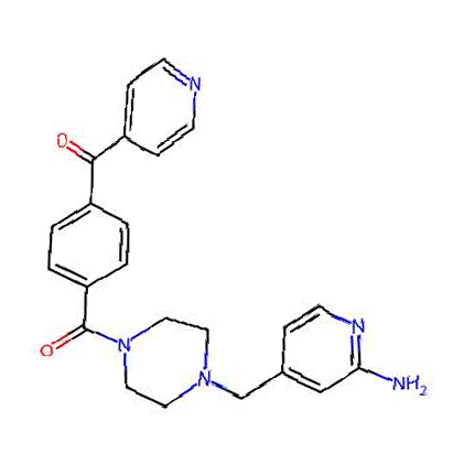 Nc1cc(CN2CCN(C(=O)c3ccc(C(=O)c4ccncc4)cc3)CC2)ccn1